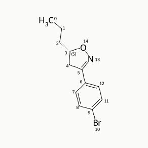 CCC[C@H]1CC(c2ccc(Br)cc2)=NO1